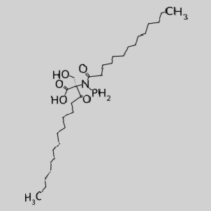 CCCCCCCCCCCCCC(=O)N(P)[C@](CO)(C(=O)O)C(=O)CCCCCCCCCCCCC